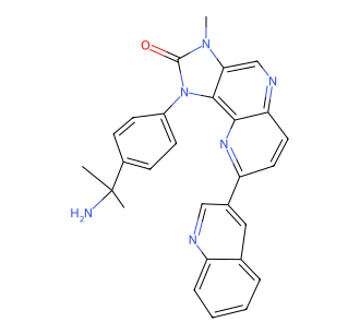 Cn1c(=O)n(-c2ccc(C(C)(C)N)cc2)c2c3nc(-c4cnc5ccccc5c4)ccc3ncc21